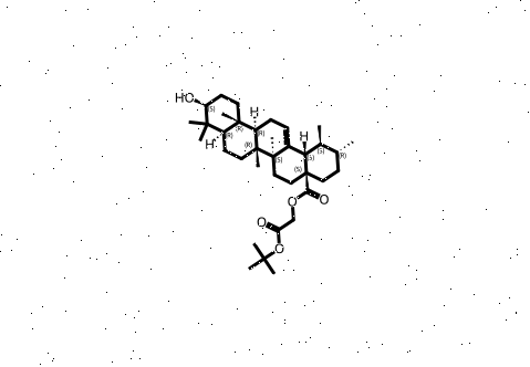 C[C@H]1[C@H](C)CC[C@]2(C(=O)OCC(=O)OC(C)(C)C)CC[C@]3(C)C(=CC[C@@H]4[C@@]5(C)CC[C@H](O)C(C)(C)[C@@H]5CC[C@]43C)[C@H]12